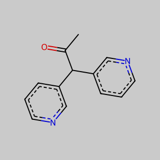 CC(=O)C(c1cccnc1)c1cccnc1